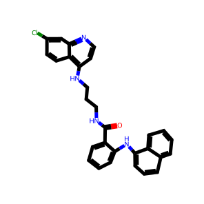 O=C(NCCCNc1ccnc2cc(Cl)ccc12)c1ccccc1Nc1cccc2ccccc12